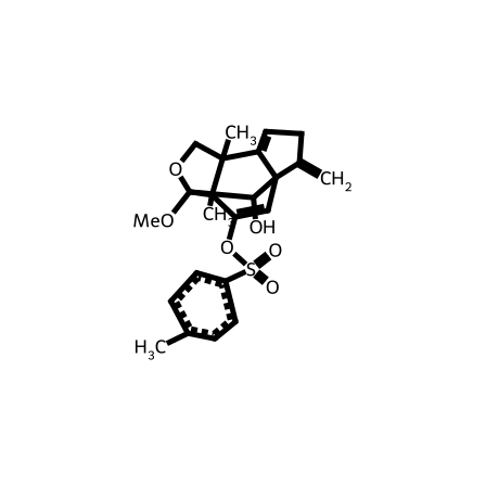 C=C1CC=C2C13C=C(OS(=O)(=O)c1ccc(C)cc1)C1(C)C2(C)COC1(OC)C3O